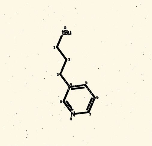 CC(C)(C)CCCc1cccnc1